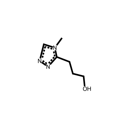 Cn1cnnc1CCCO